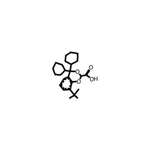 CC(C)(C)c1cccc2c1OC(C(=O)O)OC2(C1CCCCC1)C1CCCCC1